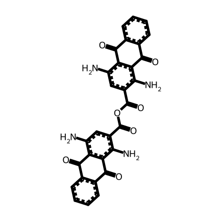 Nc1cc(C(=O)OC(=O)c2cc(N)c3c(c2N)C(=O)c2ccccc2C3=O)c(N)c2c1C(=O)c1ccccc1C2=O